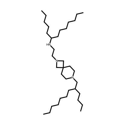 CCCCCCCC(CCCC)CN1CCC2(CC1)CN(CCNC(CCCCC)CCCCCCC)C2